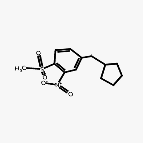 CS(=O)(=O)c1ccc([CH]C2CCCC2)cc1[N+](=O)[O-]